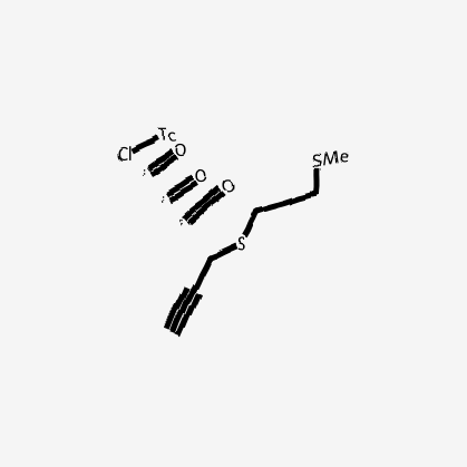 C#CCSCCSC.[C]=O.[C]=O.[C]=O.[Cl][Tc]